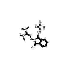 CN(C)C(=[O+]ON1C(=O)c2ccccc2C1=O)N(C)C.[O-][Cl+3]([O-])([O-])[O-]